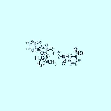 CC(C)(C)OC(=O)N(CCCCNC(=O)c1cccc([N+](=O)[O-])c1)CC1Cc2ccccc2O1